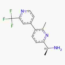 Cc1nc([C@H](C)N)ccc1-c1ccnc(C(F)(F)F)c1